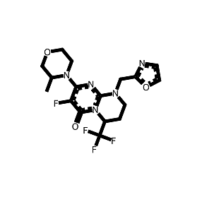 CC1COCCN1c1nc2n(c(=O)c1F)C(C(F)(F)F)CCN2Cc1ncco1